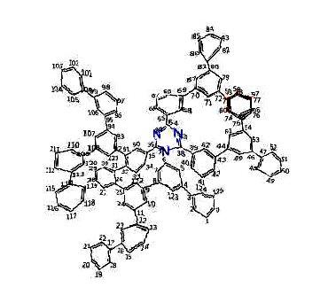 c1ccc(-c2cccc(-c3cc(-c4cccc(-c5ccccc5)c4)cc(-c4ccccc4-c4ccc(-c5nc(-c6cccc(-c7cc(-c8ccccc8)cc(-c8ccccc8)c7)c6)nc(-c6cccc(-c7cc(-c8ccccc8)cc(-c8ccccc8)c7)c6)n5)cc4-c4cc(-c5cccc(-c6ccccc6)c5)cc(-c5cccc(-c6ccccc6)c5)c4)c3)c2)cc1